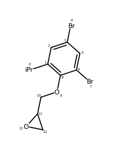 CC(C)c1cc(Br)cc(Br)c1OCC1CO1